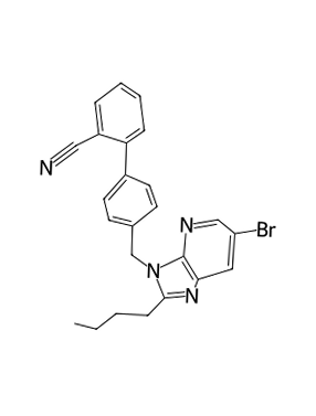 CCCCc1nc2cc(Br)cnc2n1Cc1ccc(-c2ccccc2C#N)cc1